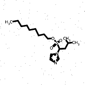 CCCCCCCCCOS(=O)(=O)C(CC(C)C)n1ccnc1